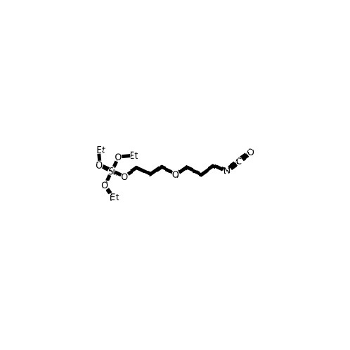 CCO[Si](OCC)(OCC)OCCCOCCCN=C=O